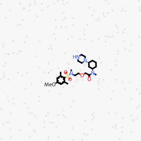 COc1cc(C)c(S(=O)(=O)N(C)CCOCC(=O)N(C)[C@@H]2CCC[C@@H](N3CCNCC3)C2)c(C)c1